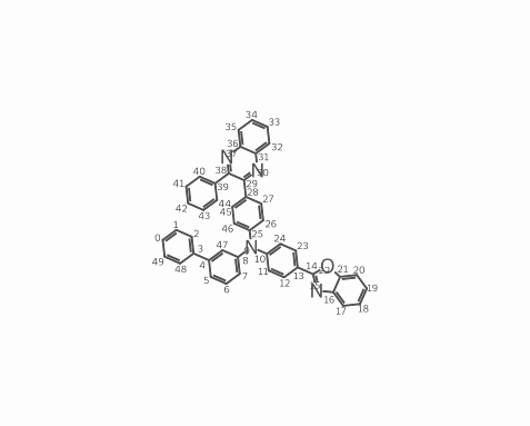 c1ccc(-c2cccc(N(c3ccc(-c4nc5ccccc5o4)cc3)c3ccc(-c4nc5ccccc5nc4-c4ccccc4)cc3)c2)cc1